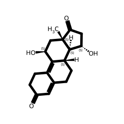 C[C@]12C[C@H](O)C3=C4CCC(=O)C=C4CC[C@H]3[C@@H]1[C@@H](O)CC2=O